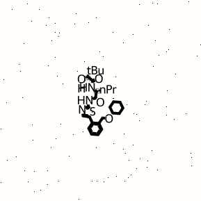 CCC[C@H](NC(=O)[C@@H](O)C(C)(C)C)C(=O)Nc1ncc(-c2ccccc2COC2CCCCC2)s1